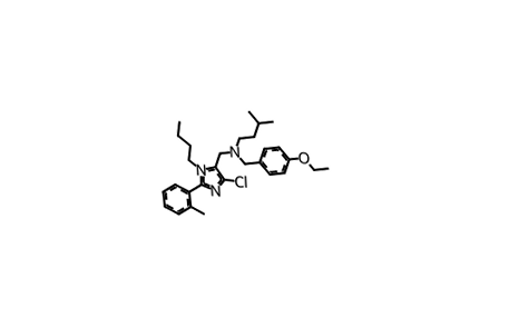 CCCCn1c(-c2ccccc2C)nc(Cl)c1CN(CCC(C)C)Cc1ccc(OCC)cc1